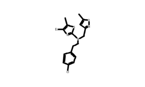 CCc1nc(N(CCc2ccc(Cl)cc2)Cc2cc(C)on2)sc1C